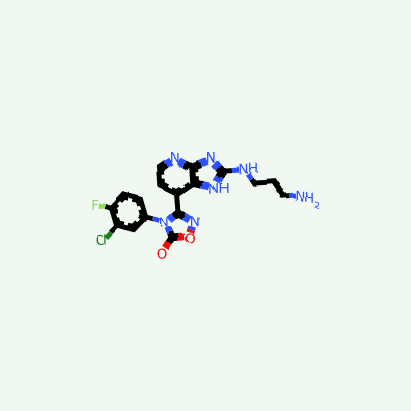 NCCCNc1nc2nccc(-c3noc(=O)n3-c3ccc(F)c(Cl)c3)c2[nH]1